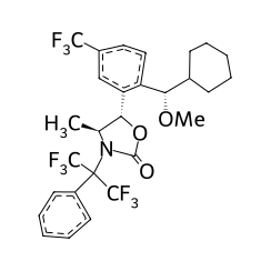 CO[C@H](c1ccc(C(F)(F)F)cc1[C@@H]1OC(=O)N(C(c2ccccc2)(C(F)(F)F)C(F)(F)F)[C@H]1C)C1CCCCC1